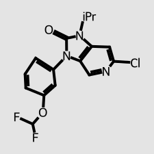 CC(C)n1c(=O)n(-c2cccc(OC(F)F)c2)c2cnc(Cl)cc21